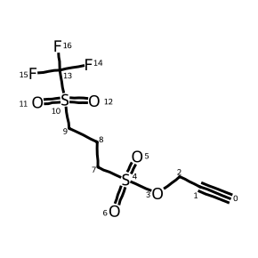 C#CCOS(=O)(=O)CCCS(=O)(=O)C(F)(F)F